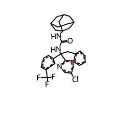 O=C(NC12CC3CC(CC(C3)C1)C2)NC(Cc1ccccc1)(c1cccc(C(F)(F)F)c1)c1ccc(Cl)cn1